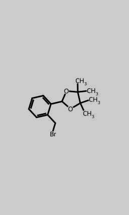 CC1(C)OC(c2ccccc2CBr)OC1(C)C